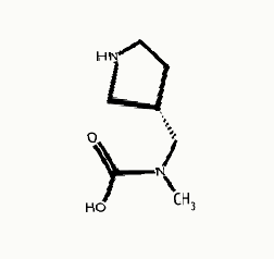 CN(C[C@H]1CCNC1)C(=O)O